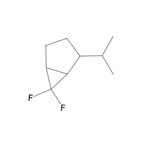 CC(C)C1CCC2C1C2(F)F